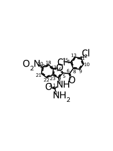 NC(=O)Nc1c(C(=O)c2ccc(Cl)cc2Cl)oc2cc([N+](=O)[O-])ccc12